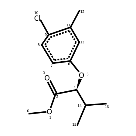 COC(=O)[C@@H](Oc1ccc(Cl)c(C)c1)C(C)C